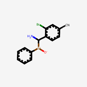 N#Cc1ccc(C(N)[S+]([O-])c2ccccc2)c(Br)c1